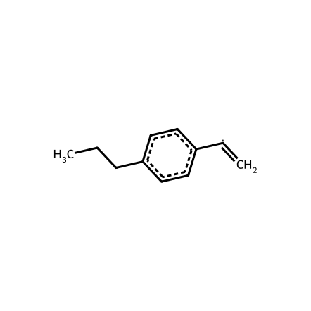 C=[C]c1ccc(CCC)cc1